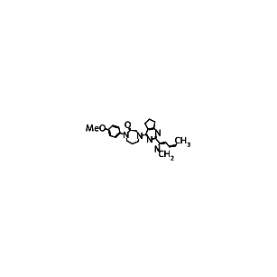 C=N/C(=C\C=C/C)c1nc2c(c(N3CCCN(c4ccc(OC)cc4)C(=O)C3)n1)CCC2